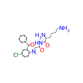 CN(CC(=O)NC(=O)[C@@H](N)CCCCN)c1ccc(Cl)cc1C(=O)c1ccccc1